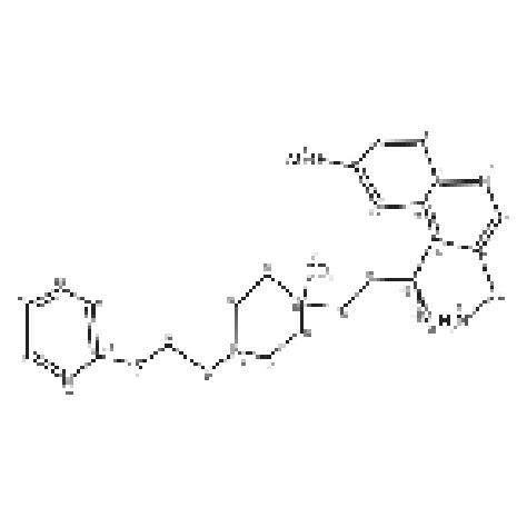 COc1ccc2ncc(CN)c([C@@H](O)CCC3(C(=O)O)CCN(CCSc4ccccn4)CC3)c2c1